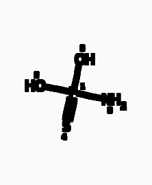 NP(O)(O)=S